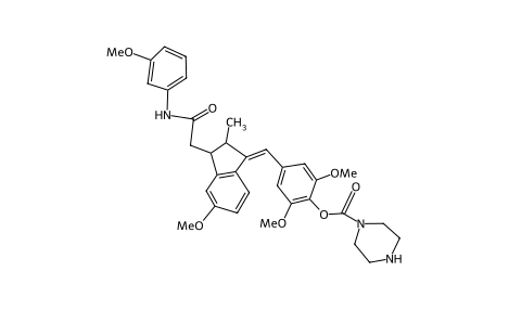 COc1cccc(NC(=O)CC2c3cc(OC)ccc3/C(=C\c3cc(OC)c(OC(=O)N4CCNCC4)c(OC)c3)C2C)c1